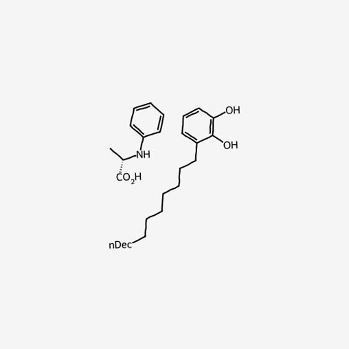 CCCCCCCCCCCCCCCCCc1cccc(O)c1O.C[C@H](Nc1ccccc1)C(=O)O